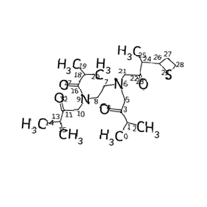 CC(C)C(=O)CN(CCN(CC(=O)C(C)C)C(=O)C(C)C)CC(=O)C(C)C1CCS1